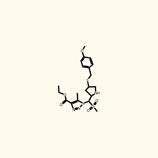 CCOC(=O)c1nnn(C(C2CC(SCc3ccc(OC)cc3)CN2)S(C)(=O)=O)c1C